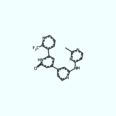 Cc1nccc(Nc2cc(-c3cc(-c4cccnc4C(F)(F)F)[nH]c(=O)c3)ccn2)n1